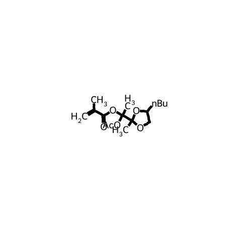 C=C(C)C(=O)OC(C)(OC(C)=O)C1(C)OCC(CCCC)O1